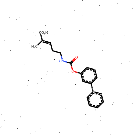 C/C(=C\CCNC(=O)Oc1cccc(-c2ccccc2)c1)C(=O)O